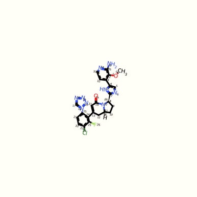 COc1c(-c2cnc([C@H]3CC[C@H]4CC(c5c(-n6cnnn6)ccc(Cl)c5F)=CC(=O)N43)[nH]2)ccnc1N